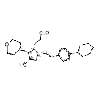 O=CCC[C@H]1[C@H](N2CCOCC2)[C@@H](O)C[C@H]1OCc1ccc(C2CCCCC2)cc1